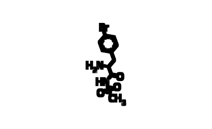 CS(=O)(=O)NC(=O)[C@@H](N)Cc1ccc(Br)cc1